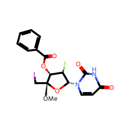 CO[C@]1(CI)O[C@@H](n2ccc(=O)[nH]c2=O)[C@H](F)[C@@H]1OC(=O)c1ccccc1